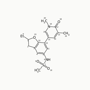 CCC1Cc2cc(NS(C)(=O)=O)cc(-c3cc(C)c(=O)n(C)c3)c2O1